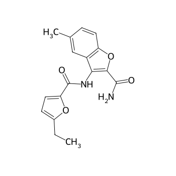 CCc1ccc(C(=O)Nc2c(C(N)=O)oc3ccc(C)cc23)o1